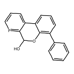 OC1Oc2c(-c3ccccc3)cccc2-c2cccpc21